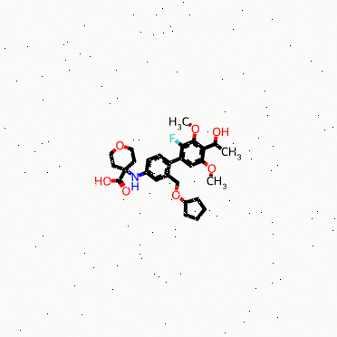 COc1cc(-c2ccc(NC3(C(=O)O)CCOCC3)cc2COC2CCCC2)c(F)c(OC)c1C(C)O